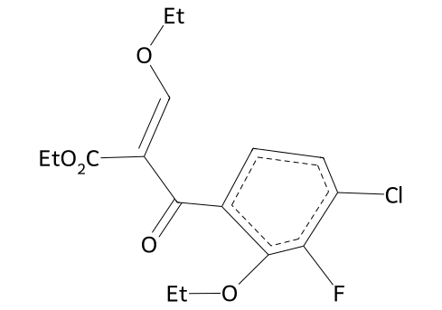 CCOC=C(C(=O)OCC)C(=O)c1ccc(Cl)c(F)c1OCC